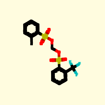 Cc1ccccc1S(=O)(=O)OCOS(=O)(=O)c1ccccc1C(F)(F)F